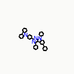 c1ccc(-c2ccc3c(c2)c2c(-c4ccccc4)nc(-c4ccc(-n5c6ccccc6c6ccccc65)cc4)nc2n3-c2ccccc2)cc1